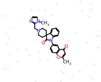 Cc1cc(=O)c2cc(N3C(=O)C4(CCN(Cc5nccn5C)CC4)c4ccccc43)ccc2o1